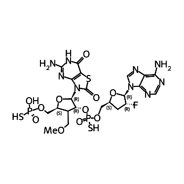 COCC1[C@@H](OP(=O)(S)OC[C@@H]2C[C@@H](F)[C@H](n3cnc4c(N)ncnc43)O2)[C@H](n2c(=O)sc3c(=O)[nH]c(N)nc32)O[C@@H]1COP(=O)(O)S